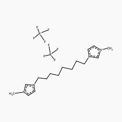 C[n+]1ccn(CCCCCCCCn2cc[n+](C)c2)c1.F[B-](F)(F)F.F[B-](F)(F)F